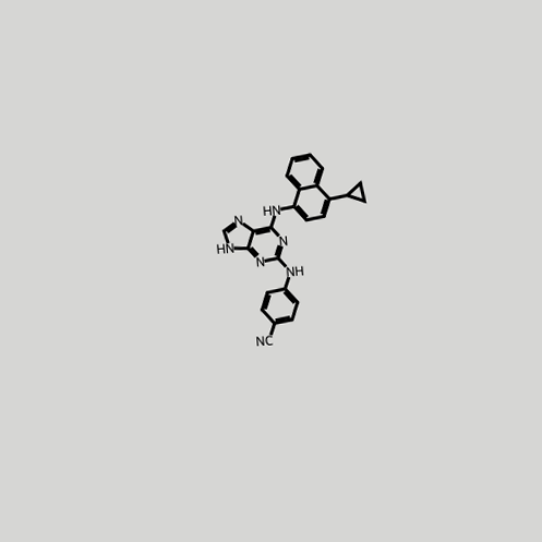 N#Cc1ccc(Nc2nc(Nc3ccc(C4CC4)c4ccccc34)c3nc[nH]c3n2)cc1